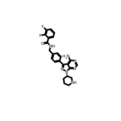 Nc1ncnc2c1c(-c1ccc(CNC(=O)c3cccc(F)c3F)cc1)nn2[C@@H]1CCCNC1